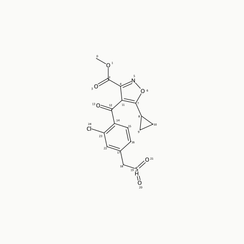 COC(=O)c1noc(C2CC2)c1C(=O)c1ccc(C[SH](=O)=O)cc1Cl